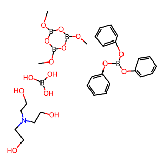 COB1OB(OC)OB(OC)O1.OB(O)O.OCCN(CCO)CCO.c1ccc(OB(Oc2ccccc2)Oc2ccccc2)cc1